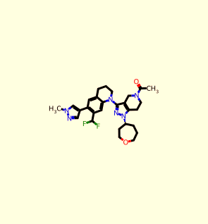 CC(=O)N1CCc2c(c(N3CCCc4cc(-c5cnn(C)c5)c(C(F)F)cc43)nn2[C@H]2CCCOCC2)C1